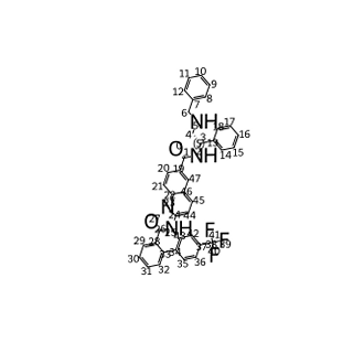 O=C(N[C@H](CNCc1ccccc1)c1ccccc1)c1ccc2nc(NC(=O)c3ccccc3-c3ccc(C(F)(F)F)cc3)ccc2c1